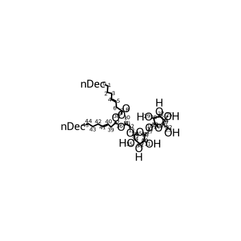 CCCCCCCCCCCCCC=CCC(=O)OC[C@H](CO[C@@H]1O[C@H](CO[C@H]2O[C@H](CO)[C@H](O)C(O)C2O)[C@H](O)C(O)C1O)OC(=O)CC=CCCCCCCCCCCCCC